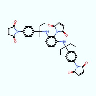 CCC(C)(Nc1cccc(NC(CC)(CC)c2ccc(N3C(=O)C=CC3=O)cc2)c1N1C(=O)C=CC1=O)c1ccc(N2C(=O)C=CC2=O)cc1